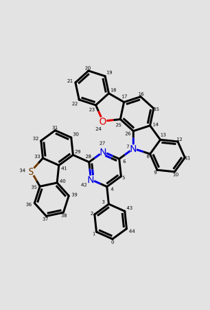 c1ccc(-c2cc(-n3c4ccccc4c4ccc5c6ccccc6oc5c43)nc(-c3cccc4sc5ccccc5c34)n2)cc1